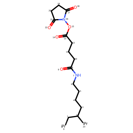 CC(C)CC(CCCCNC(=O)CCCC(=O)ON1C(=O)CCC1=O)C(C)C